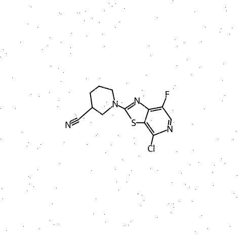 N#CC1CCCN(c2nc3c(F)cnc(Cl)c3s2)C1